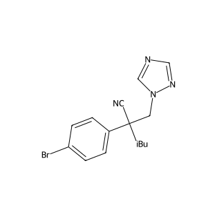 CCC(C)C(C#N)(Cn1cncn1)c1ccc(Br)cc1